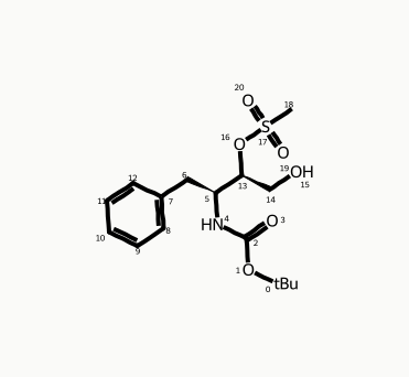 CC(C)(C)OC(=O)N[C@@H](Cc1ccccc1)[C@H](CO)OS(C)(=O)=O